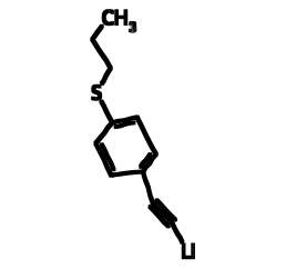 [Li][C]#Cc1ccc(SCCC)cc1